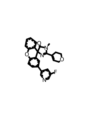 CN1C(=O)C2(N=C1C1=CCOCC1)c1ccccc1Oc1ccc(-c3cncc(F)c3)cc12